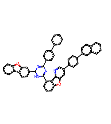 c1ccc(-c2ccc(C3=NC(c4ccc5c(c4)oc4ccccc45)NC(c4cccc5oc6cc(-c7ccc(-c8ccc9ccccc9c8)cc7)cnc6c45)=N3)cc2)cc1